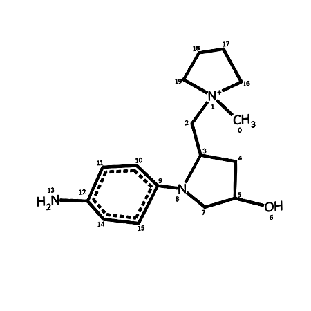 C[N+]1(CC2CC(O)CN2c2ccc(N)cc2)CCCC1